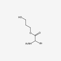 CC(=O)NC(C(=O)OCCCO)C(C)C